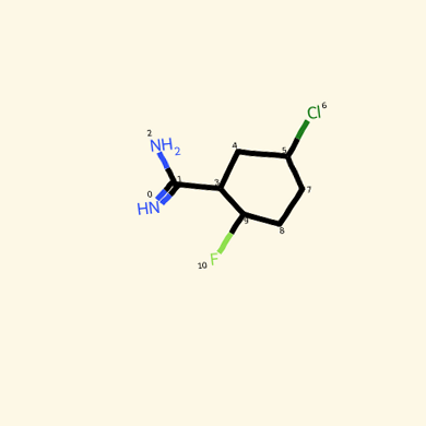 N=C(N)C1CC(Cl)CCC1F